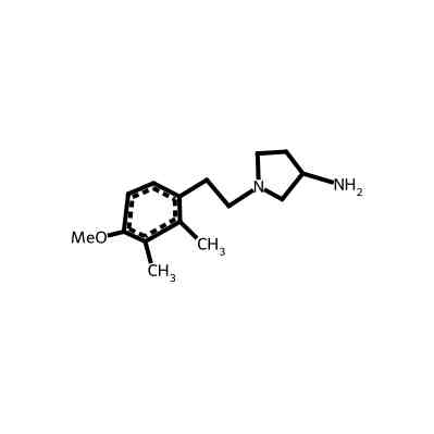 COc1ccc(CCN2CCC(N)C2)c(C)c1C